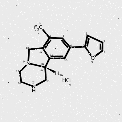 Cl.FC(F)(F)c1cc(-c2ccco2)cc2c1CN1CCNC[C@@H]21